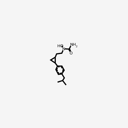 CC(C)Cc1ccc(C2CC2CCN(O)C(N)=O)cc1